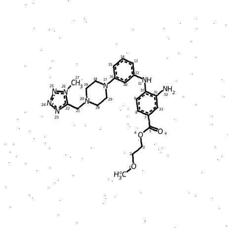 COCCOC(=O)c1ccc(Nc2cccc(N3CCN(Cc4nnnn4C)CC3)c2)c(N)c1